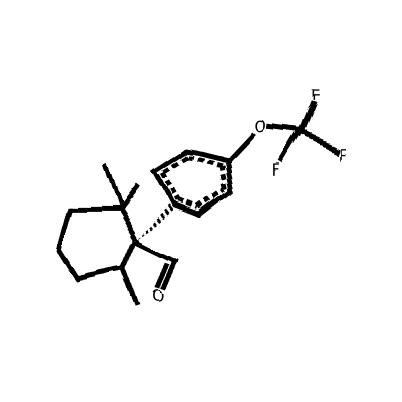 CC1CCCC(C)(C)[C@]1(C=O)c1ccc(OC(F)(F)F)cc1